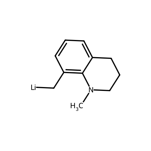 [Li][CH2]c1cccc2c1N(C)CCC2